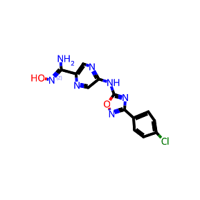 N/C(=N\O)c1cnc(Nc2nc(-c3ccc(Cl)cc3)no2)cn1